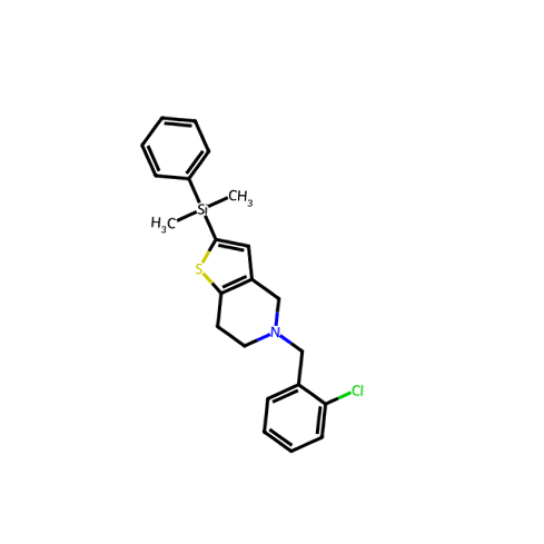 C[Si](C)(c1ccccc1)c1cc2c(s1)CCN(Cc1ccccc1Cl)C2